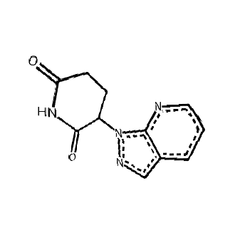 O=C1CCC(n2ncc3cccnc32)C(=O)N1